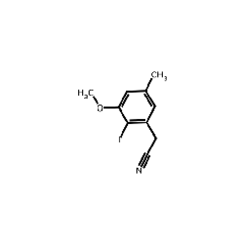 COc1cc(C)cc(CC#N)c1I